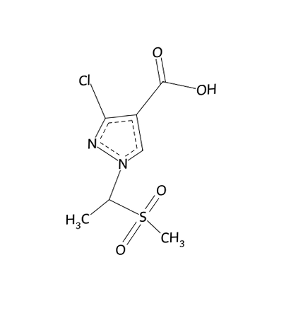 CC(n1cc(C(=O)O)c(Cl)n1)S(C)(=O)=O